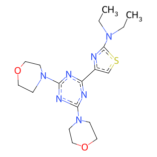 CCN(CC)c1nc(-c2nc(N3CCOCC3)nc(N3CCOCC3)n2)cs1